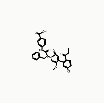 CCC(=O)c1ccc(Cl)cc1-c1cc(=O)n([C@@H](Cc2ccccc2)C(=O)Nc2ccc(C(=O)O)cc2)cc1OC